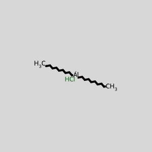 CCCCCCCCC[CH2][Al][CH2]CCCCCCCCC.Cl